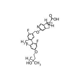 Cc1cc(F)c(COc2cc3c(cn2)[C@H]2[C@@H](C3)[C@@H]2C(=O)O)cc1-c1c(F)cc(OCCC(C)(C)O)cc1F